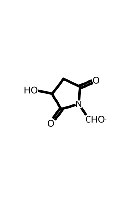 O=[C]N1C(=O)CC(O)C1=O